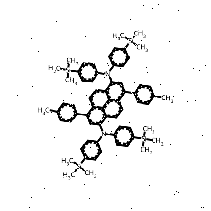 Cc1ccc(-c2cc(N(c3ccc([Si](C)(C)C)cc3)c3ccc([Si](C)(C)C)cc3)c3ccc4c(-c5ccc(C)cc5)cc(N(c5ccc([Si](C)(C)C)cc5)c5ccc([Si](C)(C)C)cc5)c5ccc2c3c45)cc1